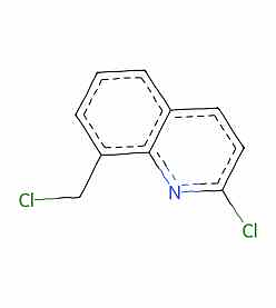 ClCc1cccc2ccc(Cl)nc12